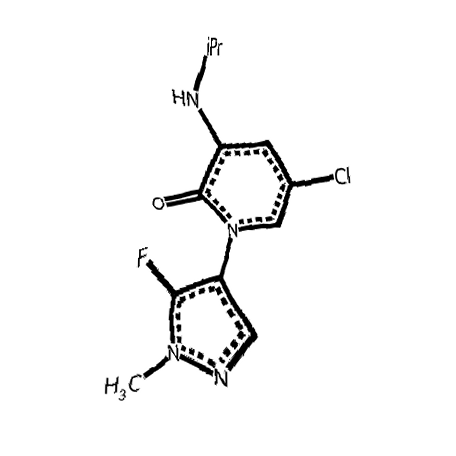 CC(C)Nc1cc(Cl)cn(-c2cnn(C)c2F)c1=O